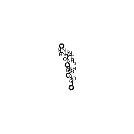 Cc1nsc(Nc2cnc3ccccc3n2)c1C(=O)Nc1cccc(NS(=O)(=O)C2CCCN(C(=O)OCc3ccccc3)C2)c1